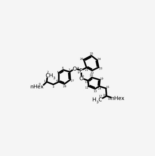 CCCCCCC(C)Cc1ccc(OP(Oc2ccc(CC(C)CCCCCC)cc2)c2ccccc2)cc1